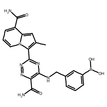 Cc1cc2c(C(N)=O)cccn2c1-c1nnc(C(N)=O)c(NCc2cccc(B(O)O)c2)n1